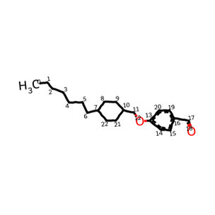 CCCCCCCC1CCC(COc2ccc(C=O)cc2)CC1